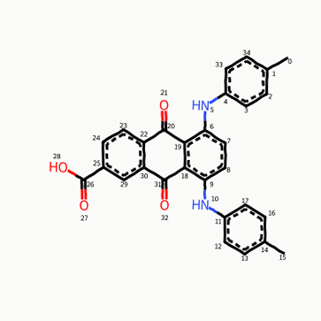 Cc1ccc(Nc2ccc(Nc3ccc(C)cc3)c3c2C(=O)c2ccc(C(=O)O)cc2C3=O)cc1